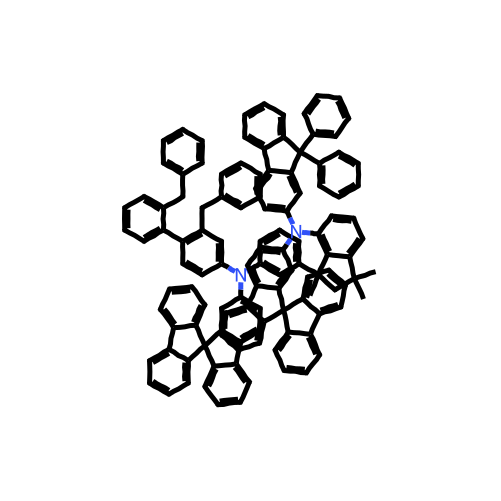 CC1(C)CC(C)(c2cccc(N(c3ccc(-c4ccccc4Cc4ccccc4)c(Cc4ccccc4)c3)c3ccc4c(c3)C3(c5ccccc5-c5ccccc53)c3ccccc3-4)c2)c2c(N(c3ccc4c(c3)C(c3ccccc3)(c3ccccc3)c3ccccc3-4)c3ccc4c(c3)C3(c5ccccc5-c5ccccc53)c3ccccc3-4)cccc21